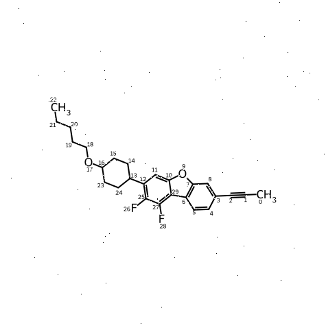 CC#Cc1ccc2c(c1)oc1cc(C3CCC(OCCCCC)CC3)c(F)c(F)c12